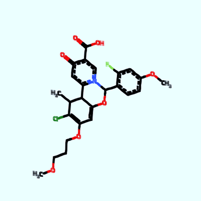 COCCCOC1=C(Cl)C(C)C2C(=C1)OC(c1ccc(OC)cc1F)n1cc(C(=O)O)c(=O)cc12